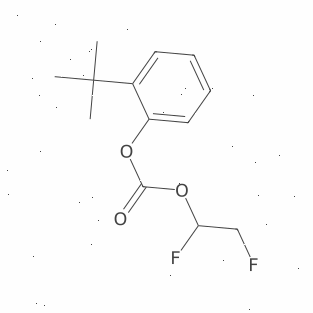 CC(C)(C)c1ccccc1OC(=O)OC(F)CF